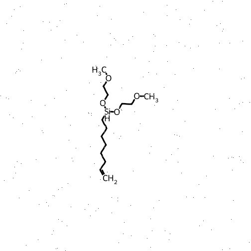 C=CCCCCCC[SiH](OCCOC)OCCOC